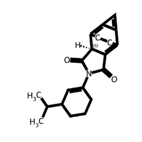 CC(C)C1C=C(N2C(=O)C3=C4CCC(=C5C=C54)[C@@H]3C2=O)CCC1